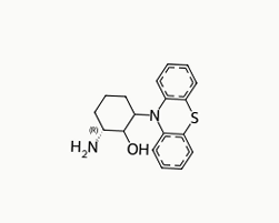 N[C@@H]1CCCC(N2c3ccccc3Sc3ccccc32)C1O